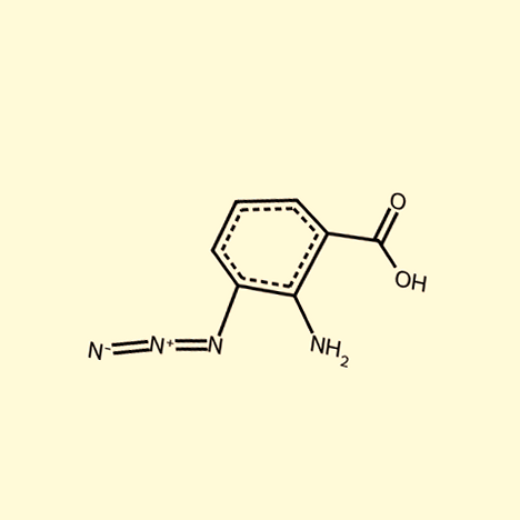 [N-]=[N+]=Nc1cccc(C(=O)O)c1N